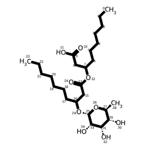 CCCCCCCC(CC(=O)O)OC(=O)CC(CCCCCCC)O[C@@H]1O[C@@H](C)[C@H](O)[C@H](O)[C@@H]1O